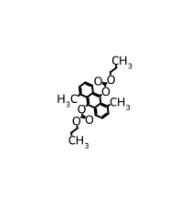 CCCOC(=O)Oc1c2cccc(C)c2c(OC(=O)OCCC)c2cccc(C)c12